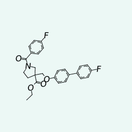 CCOC(=O)C1(COc2ccc(-c3ccc(F)cc3)cc2)CCN(C(=O)c2ccc(F)cc2)C1